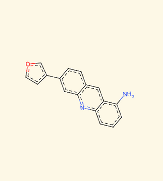 Nc1cccc2nc3cc(-c4ccoc4)ccc3cc12